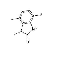 Cc1ccc(F)c2c1C(C)C(=O)N2